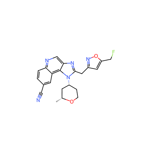 C[C@@H]1C[C@H](n2c(Cc3cc(CF)on3)nc3cnc4ccc(C#N)cc4c32)CCO1